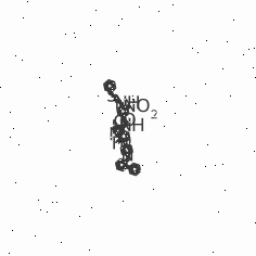 O=[N+]([O-])c1cc(S(=O)(=O)Nc2ncnc3c(F)c(N4CCN(Cc5ccccc5-c5ccccc5)CC4)ccc23)ccc1NCCSc1ccccc1